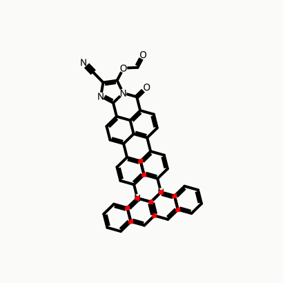 N#Cc1nc2c3ccc(-c4ccc(N(c5ccccc5)c5ccccc5)cc4)c4c(-c5ccc(N(c6ccccc6)c6ccccc6)cc5)ccc(c(=O)n2c1OC=O)c43